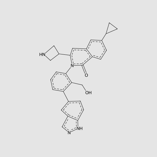 O=c1c2ccc(C3CC3)cc2cc(C2CNC2)n1-c1cccc(-c2ccc3[nH]ncc3c2)c1CO